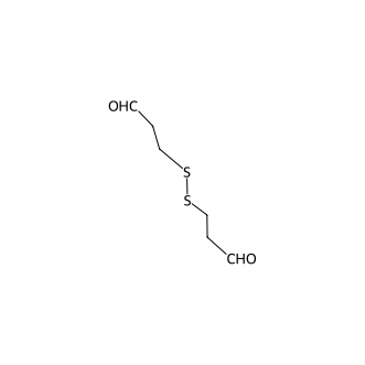 O=CCCSSCCC=O